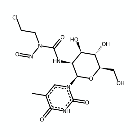 Cc1cn([C@@H]2O[C@H](CO)[C@@H](O)[C@H](O)[C@@H]2NC(=O)N(CCCl)N=O)c(=O)[nH]c1=O